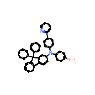 Bc1ccc(N(c2ccc(-c3ccccn3)cc2)c2ccc3c(c2)C(c2ccccc2)(c2ccccc2)c2ccccc2-3)cc1